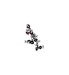 CC1(C)CCC(CNCCNc2ccc(C(=O)NS(=O)(=O)c3cnc(NCC4CCOCC4)c(-c4nccs4)c3)c(Oc3cccc4[nH]ccc34)c2)=C(c2ccc(Cl)cc2)C1